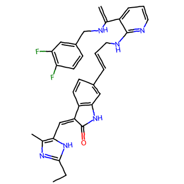 C=C(NCc1ccc(F)c(F)c1)c1cccnc1NC/C=C/c1ccc2c(c1)NC(=O)/C2=C\c1[nH]c(CC)nc1C